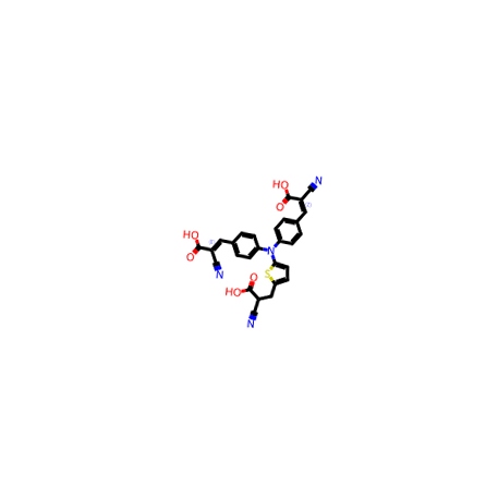 N#C/C(=C/c1ccc(N(c2ccc(/C=C(\C#N)C(=O)O)cc2)c2ccc(CC(C#N)C(=O)O)s2)cc1)C(=O)O